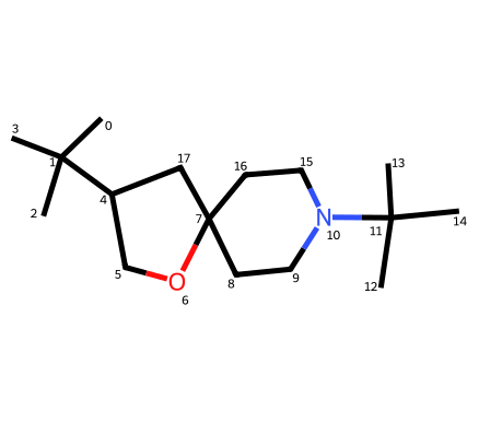 CC(C)(C)C1COC2(CCN(C(C)(C)C)CC2)C1